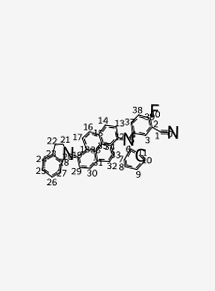 N#Cc1cc(N(c2ccccc2)c2ccc3ccc4c(N5CCc6ccccc65)ccc5ccc2c3c54)ccc1F